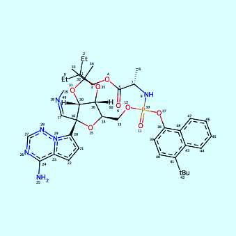 CCC(CC)COC(=O)[C@H](C)NP(=O)(OC[C@H]1O[C@@](/C=N\C)(c2ccc3c(N)ncnn23)[C@@H]2OC(C)(C)O[C@@H]21)Oc1ccc(C(C)(C)C)c2ccccc12